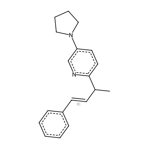 CC(/C=C/c1ccccc1)c1ccc(N2CCCC2)cn1